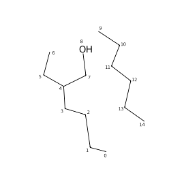 CCCCC(CC)CO.CCCCCC